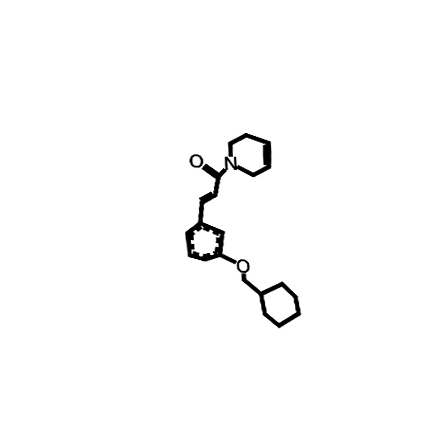 O=C(/C=C/c1cccc(OCC2CCCCC2)c1)N1CC=CCC1